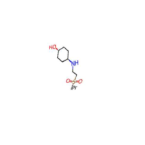 CC(C)S(=O)(=O)CCN[C@H]1CC[C@@H](O)CC1